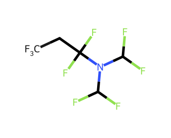 FC(F)N(C(F)F)C(F)(F)CC(F)(F)F